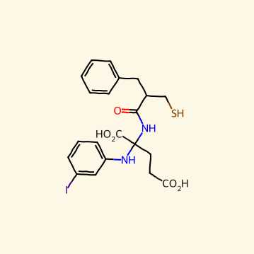 O=C(O)CCC(NC(=O)C(CS)Cc1ccccc1)(Nc1cccc(I)c1)C(=O)O